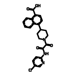 O=C(Nc1ccc(Cl)cn1)C(=O)N1CCC(c2ccc(C(=O)O)c3ccccc23)CC1